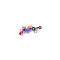 CC(C)(C)OC(=O)N[C@]12C[C@H]1CN(S(=O)(=O)NC(=O)c1cc(Cl)c(OCC3CCCC3)cc1F)C2